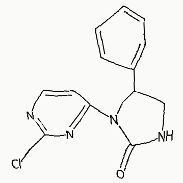 O=C1NCC(c2ccccc2)N1c1ccnc(Cl)n1